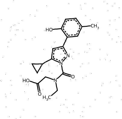 CCN(CC(=O)O)C(=O)n1nc(-c2cc(C)ccc2O)cc1C1CC1